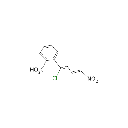 O=C(O)c1ccccc1C(Cl)=CC=C[N+](=O)[O-]